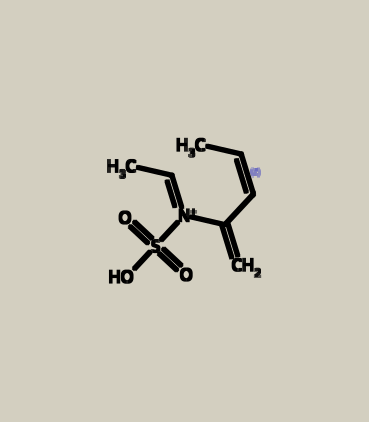 C=C(/C=C\C)[N+](=CC)S(=O)(=O)O